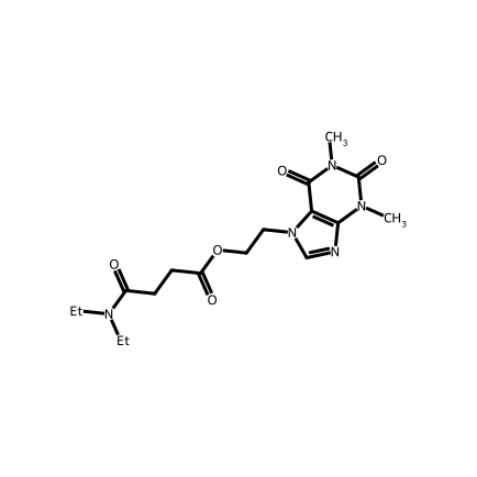 CCN(CC)C(=O)CCC(=O)OCCn1cnc2c1c(=O)n(C)c(=O)n2C